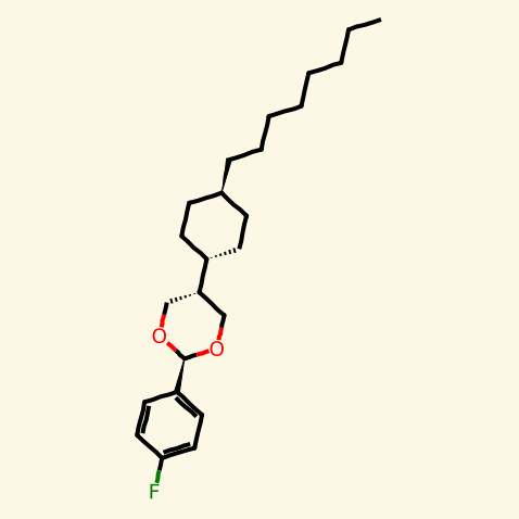 CCCCCCCC[C@H]1CC[C@H]([C@H]2CO[C@H](c3ccc(F)cc3)OC2)CC1